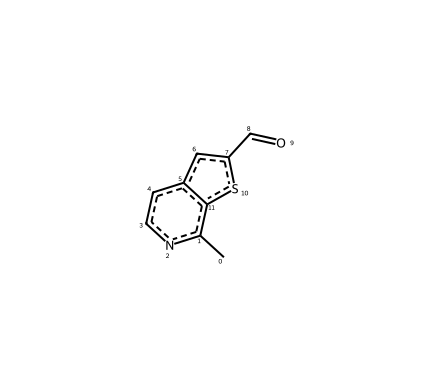 Cc1nccc2cc(C=O)sc12